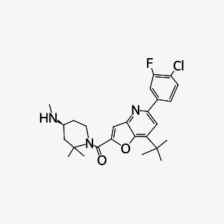 CN[C@H]1CCN(C(=O)c2cc3nc(-c4ccc(Cl)c(F)c4)cc(C(C)(C)C)c3o2)C(C)(C)C1